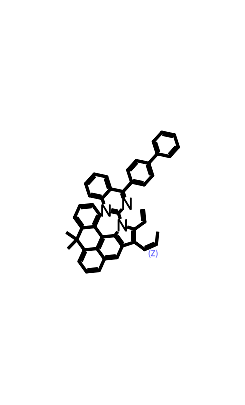 C=Cc1c(/C=C\C)c2cc3cccc4c3c(c2n1-c1nc(-c2ccc(-c3ccccc3)cc2)c2ccccc2n1)-c1ccccc1C4(C)C